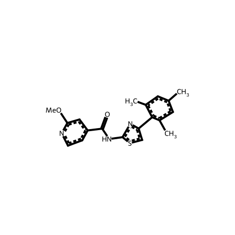 COc1cc(C(=O)Nc2nc(-c3c(C)cc(C)cc3C)cs2)ccn1